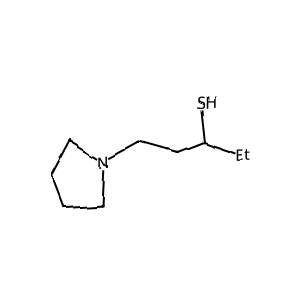 CCC(S)CCN1CCCC1